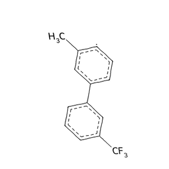 Cc1[c]ccc(-c2cccc(C(F)(F)F)c2)c1